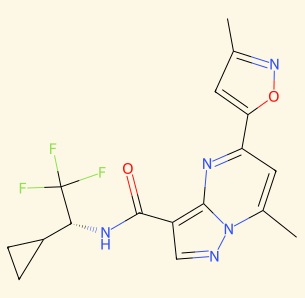 Cc1cc(-c2cc(C)n3ncc(C(=O)N[C@H](C4CC4)C(F)(F)F)c3n2)on1